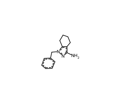 Nc1nn(Cc2ccccc2)c2c1CCCC2